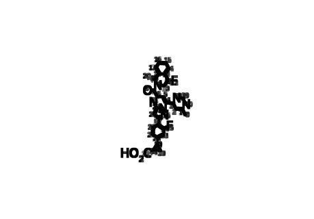 Cc1cc(-c2cc(C(=O)N3C[C@@H](F)c4ccccc4[C@H]3C)nc3cc(-c4ccc([C@H]5C[C@@H]5C(=O)O)cc4F)nn23)ncn1